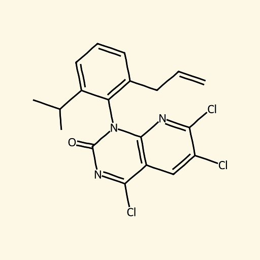 C=CCc1cccc(C(C)C)c1-n1c(=O)nc(Cl)c2cc(Cl)c(Cl)nc21